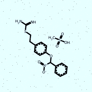 CS(=O)(=O)O.N=C(N)SCCc1ccc(OC(c2ccccc2)[N+](=O)[O-])cc1